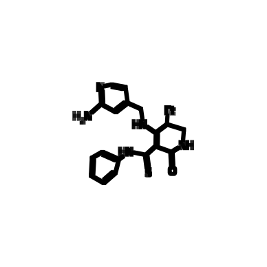 CCC1CNC(=O)C(C(=S)Nc2ccccc2)=C1NCc1ccnc(N)c1